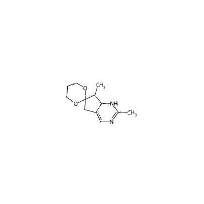 CC1=NC=C2CC3(OCCCO3)C(C)C2N1